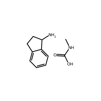 CNC(=O)O.NC1CCc2ccccc21